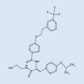 CC(C)Oc1ccc(/C=C(\NC(=O)c2ccc(OCCc3cccc(C(F)(F)F)c3)cc2)C(=O)NCCO)cc1